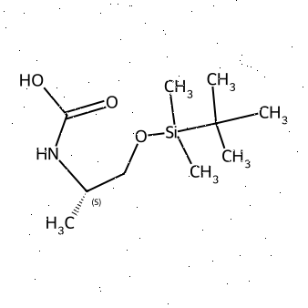 C[C@@H](CO[Si](C)(C)C(C)(C)C)NC(=O)O